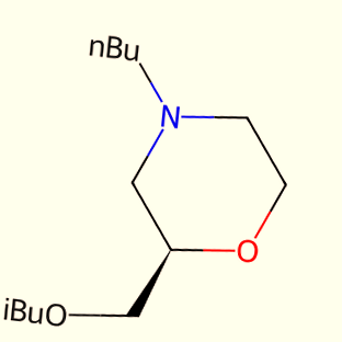 CCCCN1CCO[C@@H](COCC(C)C)C1